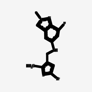 Cn1cc2cc(NCc3cc(Br)sc3C(=O)O)cc(F)c2n1